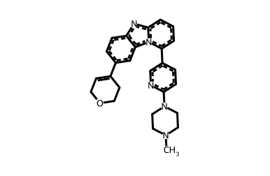 CN1CCN(c2ccc(-c3cccc4nc5ccc(C6=CCOCC6)cc5n34)cn2)CC1